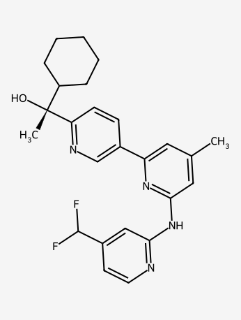 Cc1cc(Nc2cc(C(F)F)ccn2)nc(-c2ccc([C@](C)(O)C3CCCCC3)nc2)c1